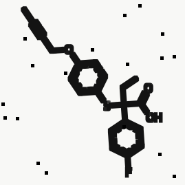 CC#CCOc1ccc(SC(CC)(C(=O)O)c2ccc(F)cc2)cc1